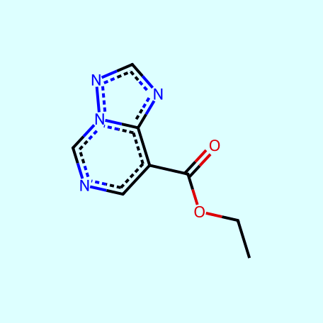 CCOC(=O)c1cncn2ncnc12